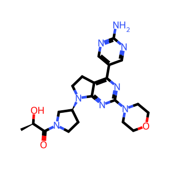 C[C@@H](O)C(=O)N1CC[C@H](N2CCc3c(-c4cnc(N)nc4)nc(N4CCOCC4)nc32)C1